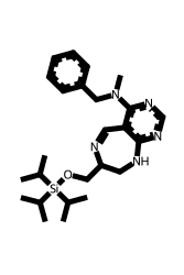 CC(C)[Si](OCC1CNc2ncnc(N(C)Cc3ccccc3)c2C=N1)(C(C)C)C(C)C